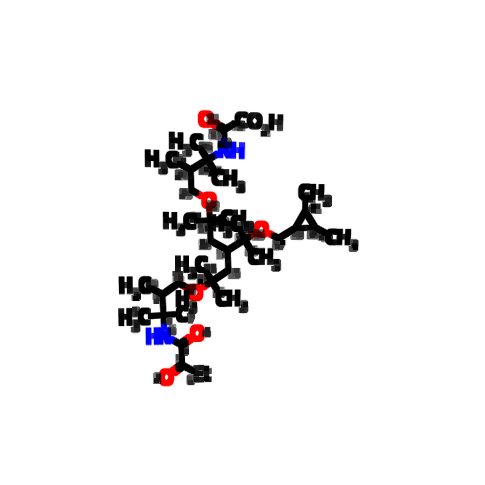 CCC(=O)C(=O)NC(C)(C)C(C)COC(C)(C)CC(CC(C)(C)OCC(C)C(C)(C)NC(=O)C(=O)O)C(C)(C)OCC1C(C)C1C